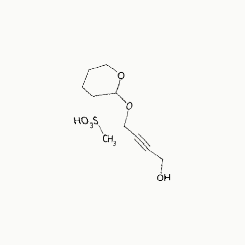 CS(=O)(=O)O.OCC#CCOC1CCCCO1